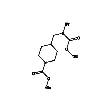 CC(C)N(CC1CCN(C(=O)OC(C)(C)C)CC1)C(=O)OC(C)(C)C